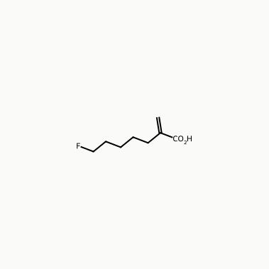 C=C(CCCCCF)C(=O)O